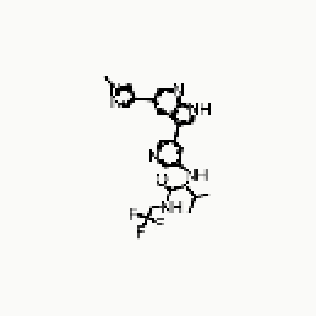 CC(C)[C@H](Nc1cncc(-c2c[nH]c3ncc(-c4cnn(C)c4)cc23)c1)C(=O)NCC(F)(F)F